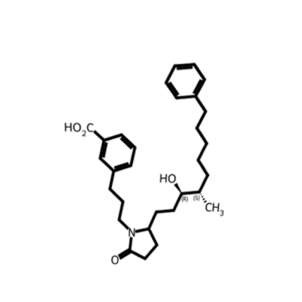 C[C@@H](CCCCCc1ccccc1)[C@H](O)CCC1CCC(=O)N1CCCc1cccc(C(=O)O)c1